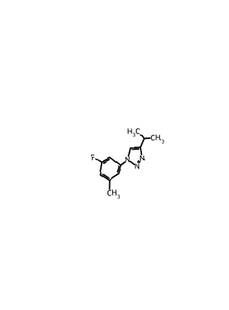 Cc1cc(F)cc(-n2cc(C(C)C)nn2)c1